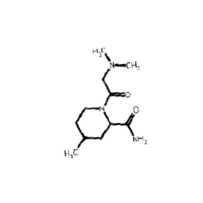 C[C]1CCN(C(=O)CN(C)C)C(C(N)=O)C1